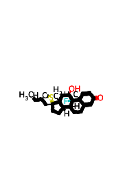 CCCC[C@]1(SC)CC[C@H]2[C@@H]3CCC4=CC(=O)C=C[C@]4(C)[C@@]3(F)[C@@H](O)C[C@@]21C